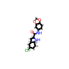 O=C(Nc1ccc2c(c1)OCO2)c1cc2cc(Cl)ccc2[nH]1